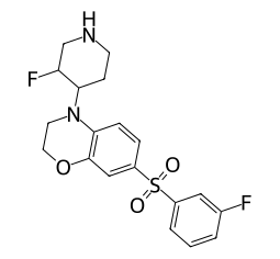 O=S(=O)(c1cccc(F)c1)c1ccc2c(c1)OCCN2C1CCNCC1F